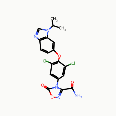 CC(C)n1cnc2ccc(Oc3c(Cl)cc(-n4c(C(N)=O)noc4=O)cc3Cl)cc21